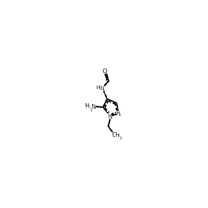 CCn1ncc(NC=O)c1N